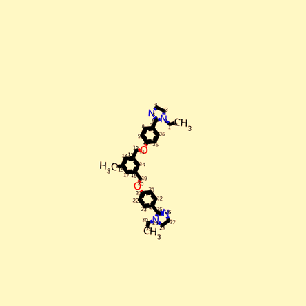 CCN1CCN=C1c1ccc(OCc2cc(C)cc(COc3ccc(C4=NCCN4CC)cc3)c2)cc1